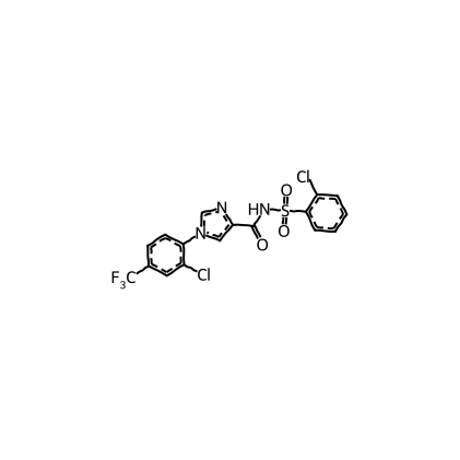 O=C(NS(=O)(=O)c1ccccc1Cl)c1cn(-c2ccc(C(F)(F)F)cc2Cl)cn1